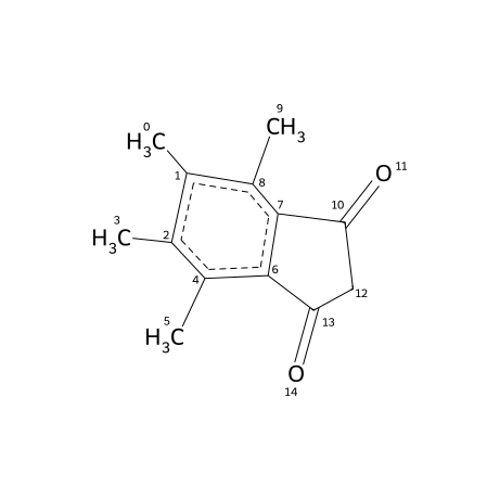 Cc1c(C)c(C)c2c(c1C)C(=O)CC2=O